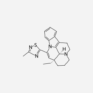 CC[C@@]12C=C(c3nc(C)ns3)n3c4c(c5ccccc53)CCN(CCC1)[C@H]42